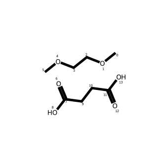 COCCOC.O=C(O)CCC(=O)O